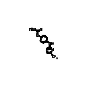 CCCCC(=O)Oc1ccc(Nc2nc(C(F)(F)F)cs2)cc1